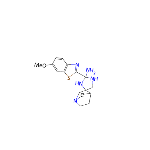 COc1ccc2nc(C3(N)NCC4(CN5CCC4CC5)N3)sc2c1